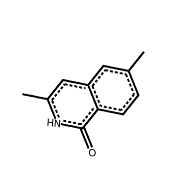 Cc1ccc2c(=O)[nH]c(C)cc2c1